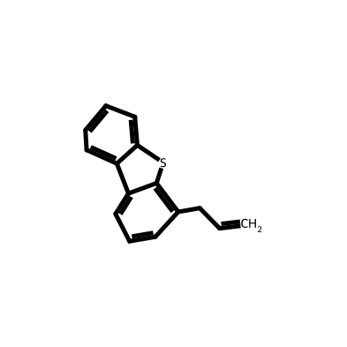 C=CCc1cccc2c1sc1ccccc12